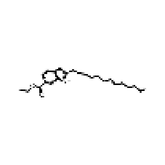 CCCCCCCCCCCCCc1cc2ccc(C(=O)OCC)cc2[nH]1